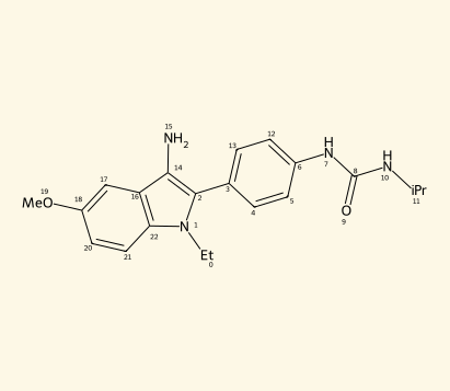 CCn1c(-c2ccc(NC(=O)NC(C)C)cc2)c(N)c2cc(OC)ccc21